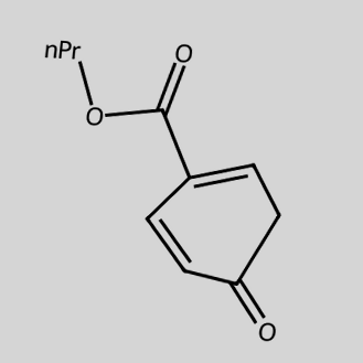 CCCOC(=O)C1=CCC(=O)C=C1